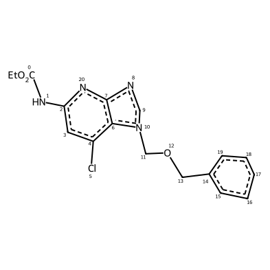 CCOC(=O)Nc1cc(Cl)c2c(ncn2COCc2ccccc2)n1